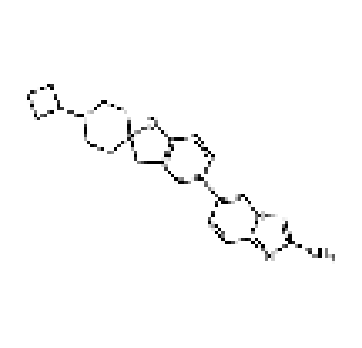 Cc1cn2cc(-c3ccc4c(c3)CC3(CCN(C5CCC5)CC3)O4)ccc2n1